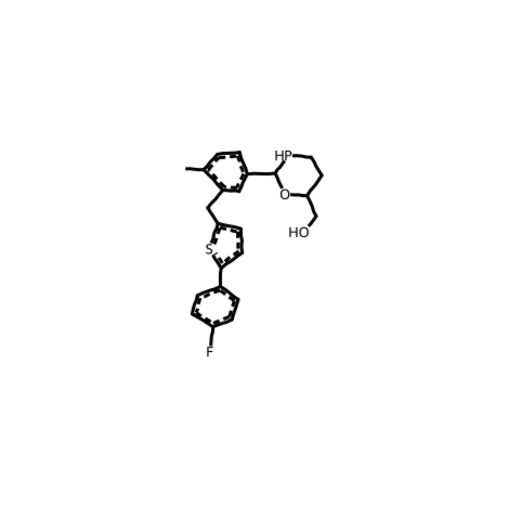 Cc1ccc(C2OC(CO)CCP2)cc1Cc1ccc(-c2ccc(F)cc2)s1